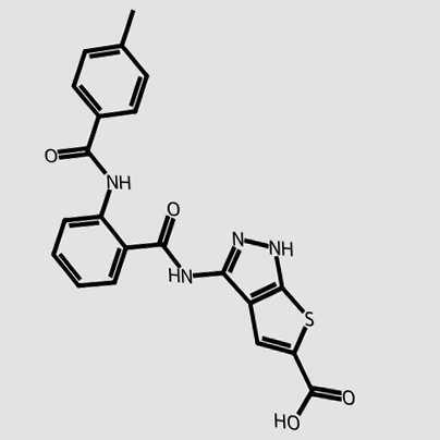 Cc1ccc(C(=O)Nc2ccccc2C(=O)Nc2n[nH]c3sc(C(=O)O)cc23)cc1